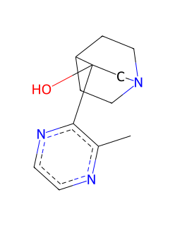 Cc1nccnc1C1(O)CN2CCC1CC2